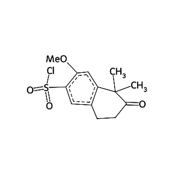 COc1cc2c(cc1S(=O)(=O)Cl)CCC(=O)C2(C)C